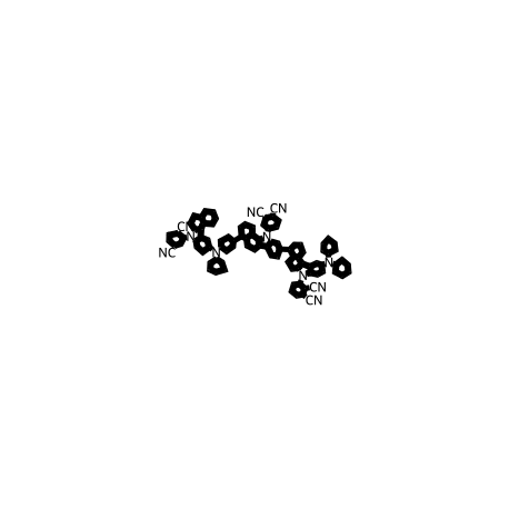 N#Cc1ccc(C#N)c(-n2c3ccc(N(c4ccccc4)c4ccc(-c5cccc6c5ccc5c7ccc(-c8cccc9c8ccc8c9c9cc(N(c%10ccccc%10)c%10ccccc%10)ccc9n8-c8cccc(C#N)c8C#N)cc7n(-c7ccc(C#N)c(C#N)c7)c65)cc4)cc3c3c4ccccc4ccc32)c1